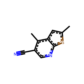 Cc1cc2c(C)c(C#N)cnc2s1